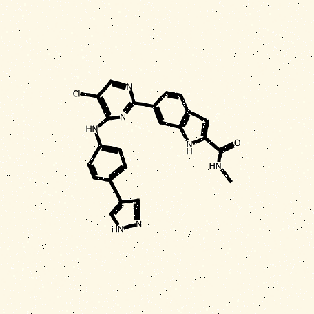 CNC(=O)c1cc2ccc(-c3ncc(Cl)c(Nc4ccc(-c5cn[nH]c5)cc4)n3)cc2[nH]1